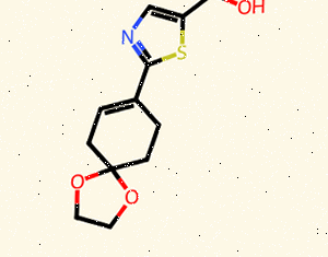 OCc1cnc(C2=CCC3(CC2)OCCO3)s1